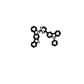 c1ccc(-n2c3ccccc3c3cc(-c4ccnc(-n5c6ccccc6c6cc7c(cc65)sc5ccccc57)n4)ccc32)cc1